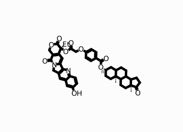 CC[C@@]1(OC(=O)COc2ccc(C(=O)O[C@H]3CC[C@@]4(C)C(CCC5C4CC[C@]4(C)C(=O)CCC54)C3)cc2)C(=O)OCc2c1cc1n(c2=O)Cc2cc3cc(O)ccc3nc2-1